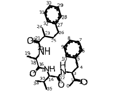 CC(=O)C(Cc1ccccc1)NC(=O)C(NC(=O)C(C)NC(=O)C(C)CCc1ccccc1)C(C)C